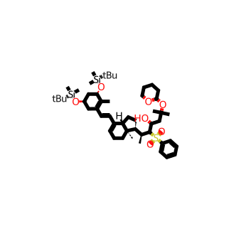 CC1=C(C=CC2=CCC[C@]3(C)[C@@H]([C@H](C)C(C(O)CC(C)(C)OC4CCCCO4)S(=O)(=O)c4ccccc4)CC[C@@H]23)C[C@@H](O[Si](C)(C)C(C)(C)C)C[C@@H]1O[Si](C)(C)C(C)(C)C